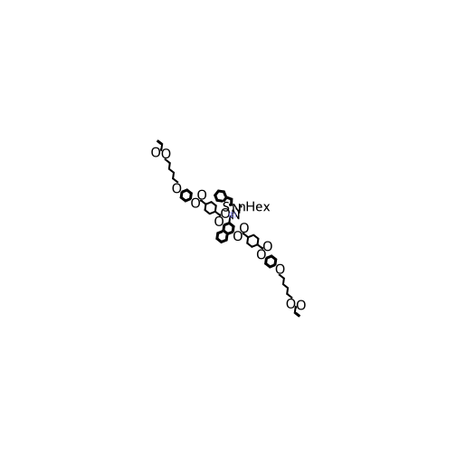 C=CC(=O)OCCCCCCOc1ccc(OC(=O)C2CCC(C(=O)Oc3cc(/C=N/N(CCCCCC)c4cc5ccccc5s4)c(OC(=O)C4CCC(C(=O)Oc5ccc(OCCCCCCOC(=O)C=C)cc5)CC4)c4ccccc34)CC2)cc1